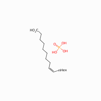 CCCCCC/C=C\CCCCCCCC(=O)O.O=P(O)(O)O